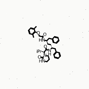 Cc1cccc(C)c1OCC(=O)N[C@H](CC[C@H](Cc1ccccc1)NC(=O)[C@H](C(C)C)N1CCCNC1=O)Cc1ccccc1